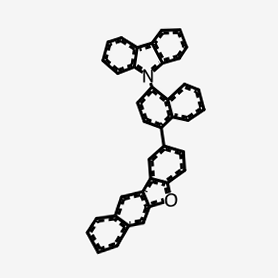 c1ccc2cc3c(cc2c1)oc1ccc(-c2ccc(-n4c5ccccc5c5ccccc54)c4ccccc24)cc13